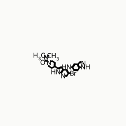 CN(C)C(=O)N1CC=C(c2cc3c(Nc4ccc5[nH]ncc5c4)c(Br)cnc3[nH]2)CC1